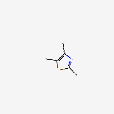 COc1sc(C)nc1C(C)(C)C